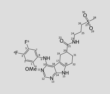 COc1cc(F)c(F)cc1Nc1ncnc2[nH]c3c(c12)CC(C(=O)NCCCS(C)(=O)=O)CC3